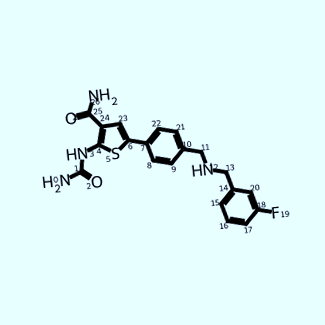 NC(=O)Nc1sc(-c2ccc(CNCc3cccc(F)c3)cc2)cc1C(N)=O